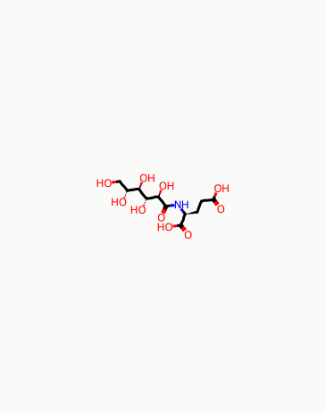 O=C(O)CC[C@H](NC(=O)[C@H](O)[C@H](O)[C@H](O)[C@H](O)CO)C(=O)O